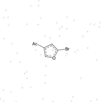 CC(=O)c1coc(Br)c1